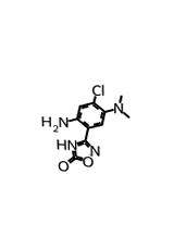 CN(C)c1cc(-c2noc(=O)[nH]2)c(N)cc1Cl